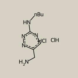 CCCCNc1ncc(CN)nn1.Cl.Cl